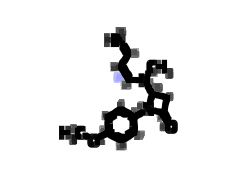 COc1ccc(N2C(=O)CC2N(C)/C=C\C=N)cc1